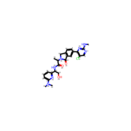 CNc1ncc(Cl)c(-c2ccc3c(c2)C(=O)N(C(C)C(=O)NC(CO)c2cccc(N(C)C)n2)C3)n1